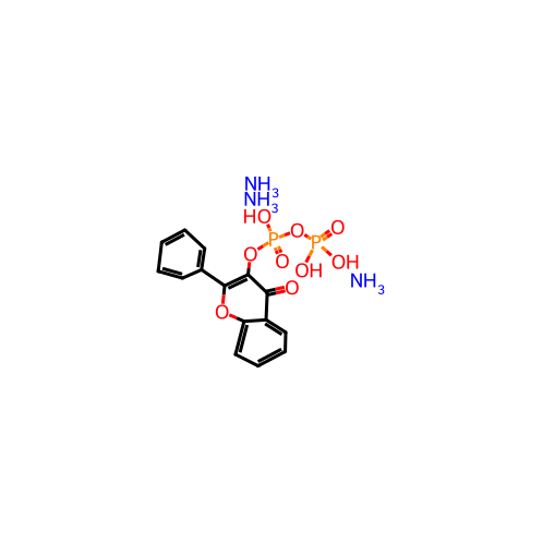 N.N.N.O=c1c(OP(=O)(O)OP(=O)(O)O)c(-c2ccccc2)oc2ccccc12